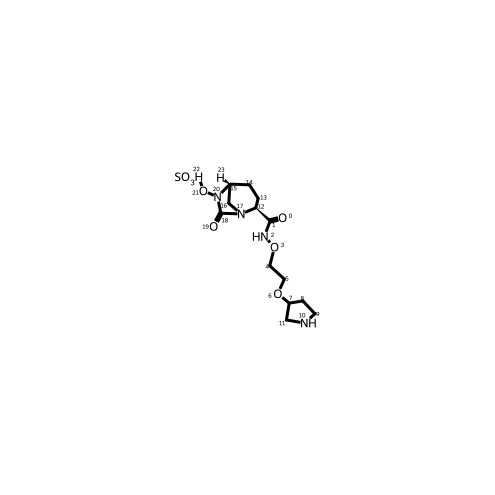 O=C(NOCCOC1CCNC1)[C@@H]1CC[C@@H]2CN1C(=O)N2OS(=O)(=O)O